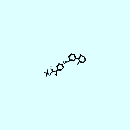 Cc1cccc(C)c1-c1cccc(COc2ccc(NC(=O)OC(C)(C)C)cc2)c1